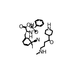 CNCCCC(=O)C1CCNCC1.N#CC1(I)C=CC=C(C[C@H](NS(=O)(=O)c2ccccc2)C(=O)O)C1